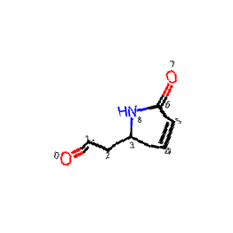 O=[C]CC1C=CC(=O)N1